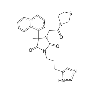 CC1(c2cccc3ccccc23)C(=O)N(CCCc2cnc[nH]2)C(=O)N1CC(=O)N1CCSC1